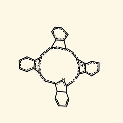 C1=CC2c3cc4[nH]c(cc5nc(cc6[nH]c(cc(n3)C2C=C1)c1ccccc61)-c1ccccc1-5)c1ccccc41